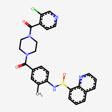 Cc1cc(C(=O)N2CCN(C(=O)c3ccncc3Cl)CC2)ccc1N[S+]([O-])c1cccc2cccnc12